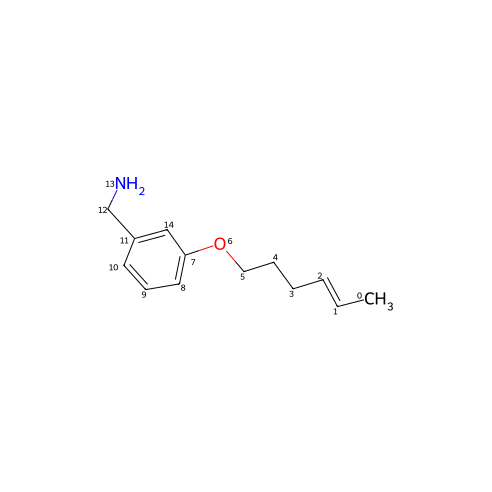 CC=CCCCOc1cccc(CN)c1